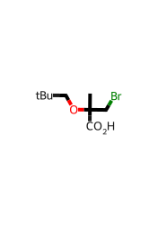 CC(C)(C)COC(C)(CBr)C(=O)O